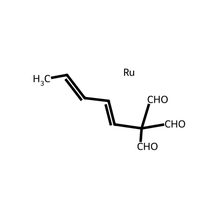 CC=CC=CC(C=O)(C=O)C=O.[Ru]